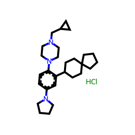 Cl.c1cc(N2CCN(CC3CC3)CC2)c(C2CCC3(CCCC3)CC2)cc1N1CCCC1